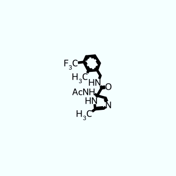 CC(=O)NC1(C(=O)NCc2cccc(C(F)(F)F)c2C)C=NC=C(C)N1